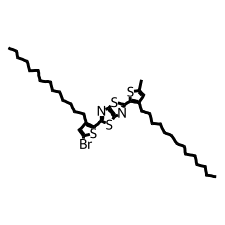 CCCCCCCCCCCCCCc1cc(C)sc1-c1nc2sc(-c3sc(Br)cc3CCCCCCCCCCCCCC)nc2s1